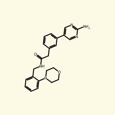 Nc1ncc(-c2cccc(CC(=O)NCc3ccccc3N3CCOCC3)c2)cn1